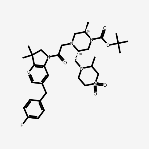 CC1CS(=O)(=O)CCN1C[C@H]1CN(C(=O)OC(C)(C)C)[C@H](C)CN1CC(=O)N1CC(C)(C)c2ncc(Cc3ccc(F)cc3)cc21